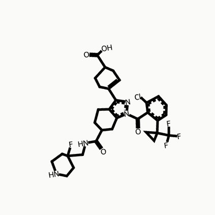 O=C(O)C1CC=C(c2nn(C(=O)c3c(Cl)cccc3C3(C(F)(F)F)CC3)c3c2CCC(C(=O)NCC2(F)CCNCC2)C3)CC1